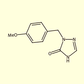 COc1ccc(Cn2nc[nH]c2=O)cc1